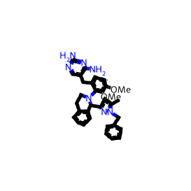 COc1[c]cc(Cc2cnc(N)nc2N)c(N2CCc3ccccc3C2c2cc(C)n(Cc3ccccc3)n2)c1OC